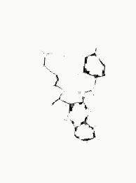 CN(C)CCCNC(=O)c1nc2ccccc2nc1NSc1ccc(F)cc1